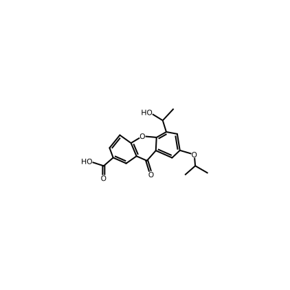 CC(C)Oc1cc(C(C)O)c2oc3ccc(C(=O)O)cc3c(=O)c2c1